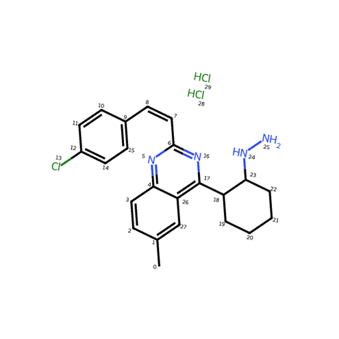 Cc1ccc2nc(/C=C\c3ccc(Cl)cc3)nc(C3CCCCC3NN)c2c1.Cl.Cl